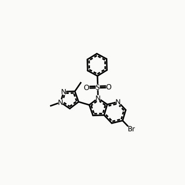 Cc1nn(C)cc1-c1cc2cc(Br)cnc2n1S(=O)(=O)c1ccccc1